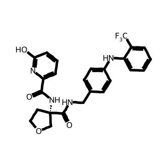 O=C(N[C@@]1(C(=O)NCc2ccc(Nc3ccccc3C(F)(F)F)cc2)CCOC1)c1cccc(O)n1